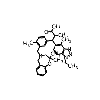 CCn1nnc2c(C)c(C(c3ccc(C)c(CN4Cc5ccccc5OC(C)(C)C4)c3)C(C)C(=O)O)ccc21